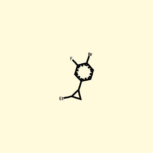 CCC1CC1c1ccc(Br)c(F)c1